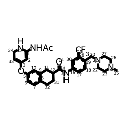 CC(=O)NC1=CC(Oc2ccc3c(c2)CC(C(=O)Nc2ccc(CN4CCN(C)CC4)c(C(F)(F)F)c2)CC3)=CCN1